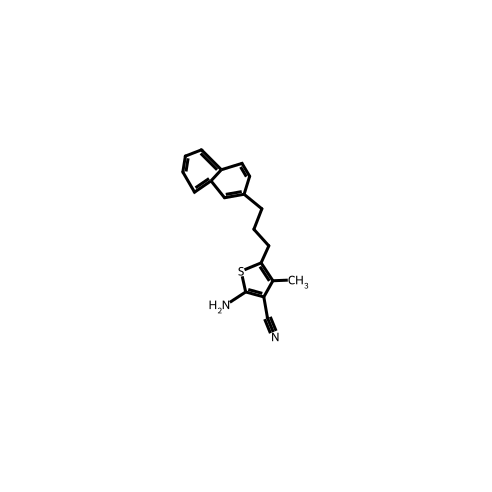 Cc1c(CCCc2ccc3ccccc3c2)sc(N)c1C#N